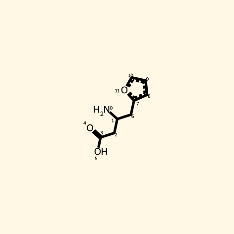 NC(CC(=O)O)Cc1ccco1